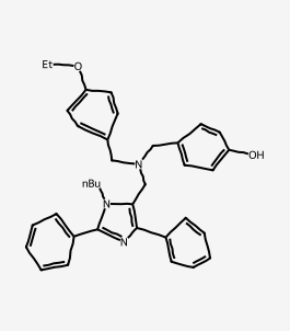 CCCCn1c(-c2ccccc2)nc(-c2ccccc2)c1CN(Cc1ccc(O)cc1)Cc1ccc(OCC)cc1